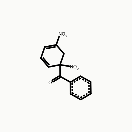 O=C(c1ccccc1)C1([N+](=O)[O-])C=CC=C([N+](=O)[O-])C1